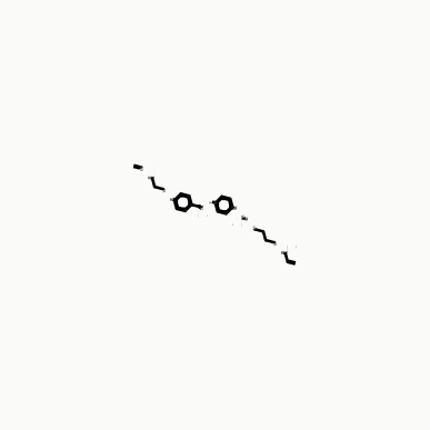 C=COC(=O)CCOc1ccc(C(=O)Sc2ccc(OC(=O)OCCCCOC(=O)C=C)cc2)cc1